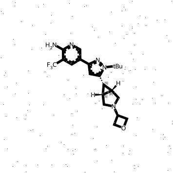 CC(C)(C)n1nc(-c2cnc(N)c(C(F)(F)F)c2)cc1[C@@H]1[C@@H]2CN(C3COC3)C[C@@H]21